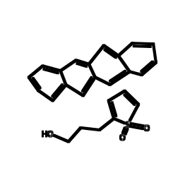 O=S1(=O)C=CC=C1CCCO.c1ccc2cc3cc4ccccc4cc3cc2c1